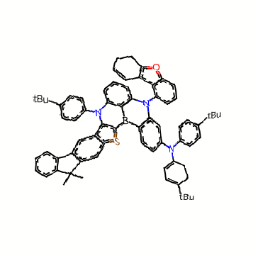 CC(C)(C)C1=CC=C(N(c2ccc(C(C)(C)C)cc2)c2ccc3c(c2)N(c2cccc4oc5c(c24)C=CCC5)c2cccc4c2B3c2sc3cc5c(cc3c2N4c2ccc(C(C)(C)C)cc2)-c2ccccc2C5(C)C)CC1